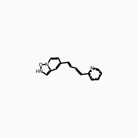 C(C=Cc1ccccn1)=CC1=CC2=CNON2C=C1